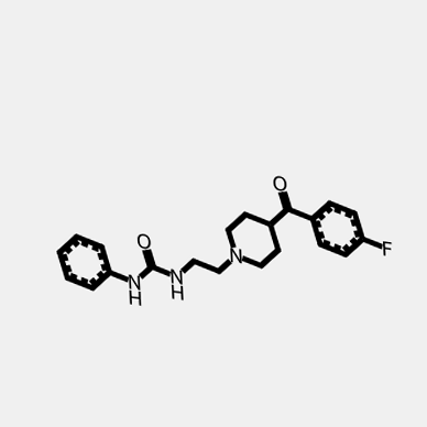 O=C(NCCN1CCC(C(=O)c2ccc(F)cc2)CC1)Nc1ccccc1